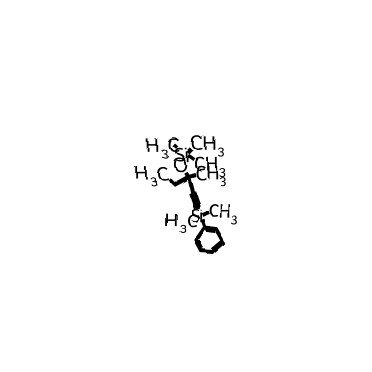 CCC(C)(C#C[Si](C)(C)c1ccccc1)O[Si](C)(C)C